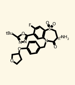 CC(C)(C)c1nnc(-c2cc3c(cc2F)S(=O)(=O)C[C@H](N)C(=O)N3Cc2ccc(OC3CCOC3)cc2)o1